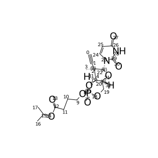 C#C[C@]1(C)[C@@H]2O[P@](=O)(OCCCC(=O)OC(C)C)OC[C@H]2O[C@H]1n1ccc(=O)[nH]c1=O